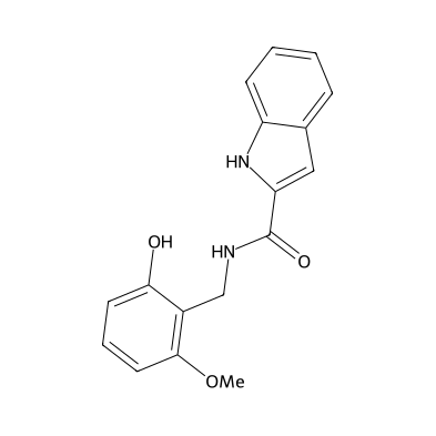 COc1cccc(O)c1CNC(=O)c1cc2ccccc2[nH]1